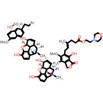 CN1CC[C@]23c4c5ccc(O)c4O[C@H]2[C@@H](O)C=C[C@H]3[C@H]1C5.CN1CC[C@]23c4c5ccc(O)c4O[C@H]2[C@@H](O)C=C[C@H]3[C@H]1C5.COc1c(C)c2c(c(O)c1C/C=C(\C)CCC(=O)OCCN1CCOCC1)C(=O)OC2.COc1ccc2cc(CCC(C)=O)ccc2c1.O=S(=O)(O)O